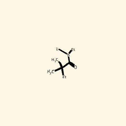 CCN(CC)C(=O)C(C)(C)CC